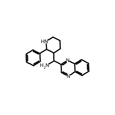 NC(c1cnc2ccccc2n1)C1CCCNC1c1ccccc1